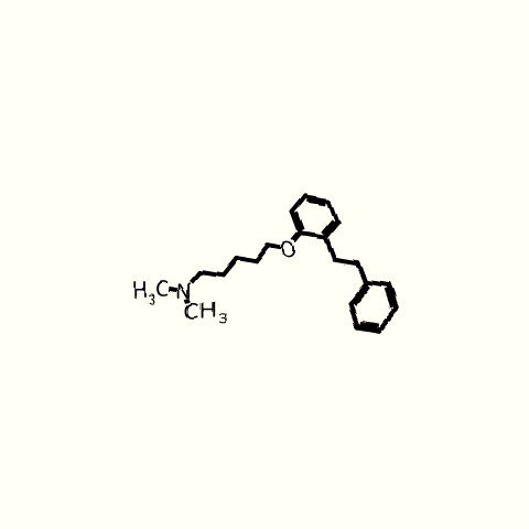 CN(C)CCCCCOc1ccccc1CCc1ccccc1